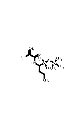 C=C(C)C(=O)NC(CCC)[Si](C)(C)O[Si](C)(C)C